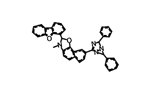 CN1c2ccc3ccc(C4=NC(c5ccccc5)N5C(c6ccccc6)N45)cc3c2OC1c1cccc2c1oc1ccccc12